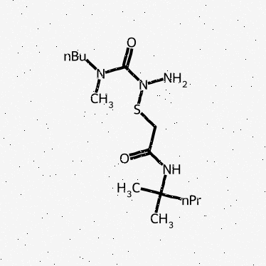 CCCCN(C)C(=O)N(N)SCC(=O)NC(C)(C)CCC